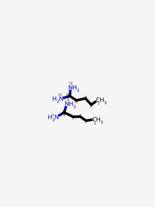 CCCCC(N)N.CCCCC(N)N